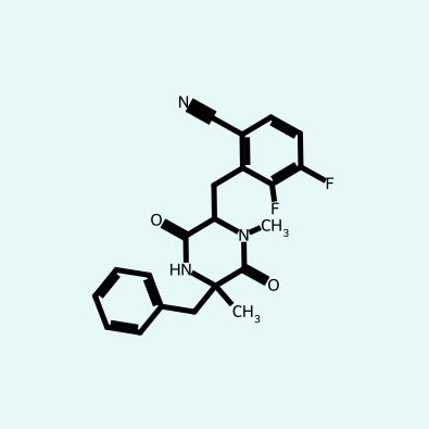 CN1C(=O)C(C)(Cc2ccccc2)NC(=O)C1Cc1c(C#N)ccc(F)c1F